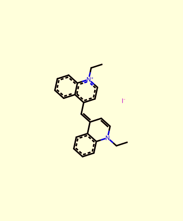 CCN1C=C/C(=C\c2cc[n+](CC)c3ccccc23)c2ccccc21.[I-]